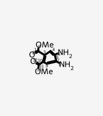 COC(=O)c1cc(N)c(N)cc1C(=O)OC